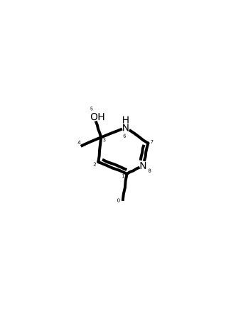 CC1=CC(C)(O)NC=N1